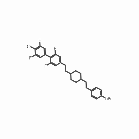 CCCc1ccc(CCC2CCC(CCc3cc(F)c(-c4cc(F)c(Cl)c(F)c4)c(F)c3)CC2)cc1